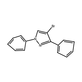 Brc1cn(-c2ccccc2)nc1-c1ccccc1